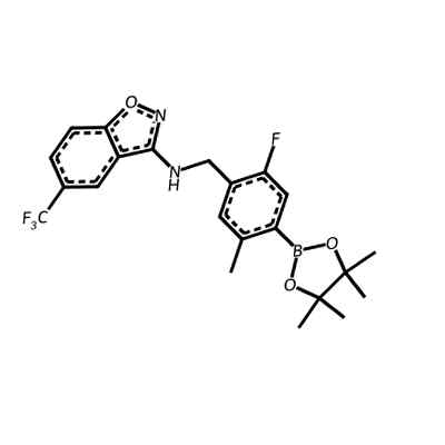 Cc1cc(CNc2noc3ccc(C(F)(F)F)cc23)c(F)cc1B1OC(C)(C)C(C)(C)O1